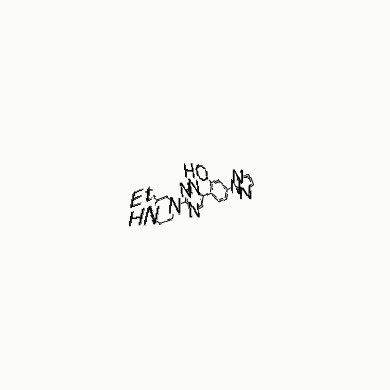 CC[C@H]1CN(c2ncc(-c3ccc(-n4nccn4)cc3O)nn2)CCN1